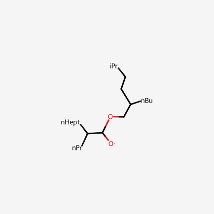 CCCCCCCC(CCC)C([O])OCC(CCCC)CCC(C)C